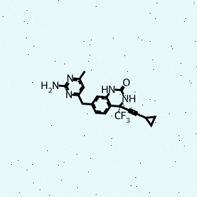 Cc1cc(Cc2ccc3c(c2)NC(=O)N[C@]3(C#CC2CC2)C(F)(F)F)nc(N)n1